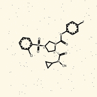 N#CN(C(=O)[C@@H]1C[C@@H](S(=O)(=O)c2ccccc2Cl)CN1C(=O)Oc1ccc(F)cc1)C1CC1